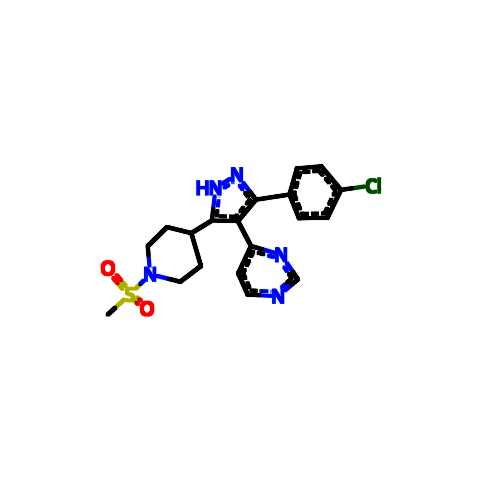 CS(=O)(=O)N1CCC(c2[nH]nc(-c3ccc(Cl)cc3)c2-c2ccncn2)CC1